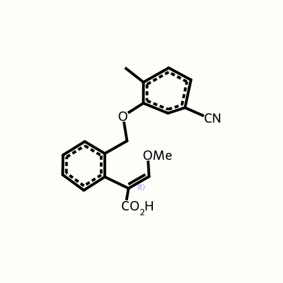 CO/C=C(/C(=O)O)c1ccccc1COc1cc(C#N)ccc1C